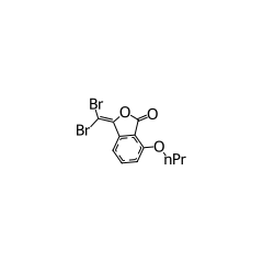 CCCOc1cccc2c1C(=O)OC2=C(Br)Br